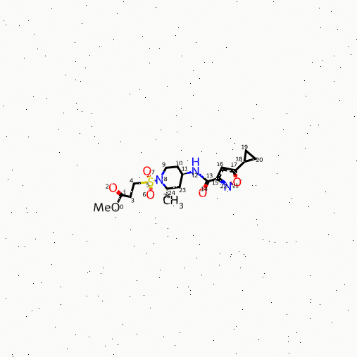 COC(=O)CCS(=O)(=O)N1CC[C@@H](NC(=O)c2cc(C3CC3)on2)C[C@@H]1C